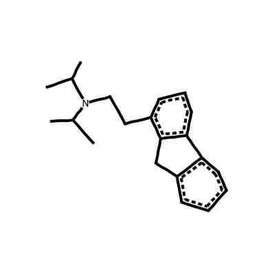 CC(C)N(CCc1cccc2c1Cc1ccccc1-2)C(C)C